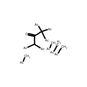 CC(=O)C(C(C)=O)C(=O)C(C(C)=O)(C(C)=O)C(C)=O.CC(C)=O.CC(C)=O.CC(C)=O.CC(C)=O